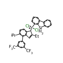 CCC1=Cc2c(ccc(C(C)C)c2-c2cc(C(F)(F)F)cc(C(F)(F)F)c2)[CH]1[Zr]([Cl])([Cl])[c]1cccc2c1[SiH2]c1ccccc1-2